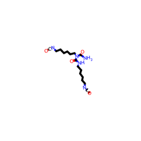 NC(=O)N(CCCCCCN=C=O)C(=O)NCCCCCCN=C=O